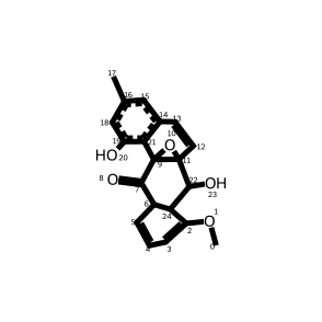 COC1=CC=CC2C(=O)C34OC3(C=Cc3cc(C)cc(O)c34)C(O)C12